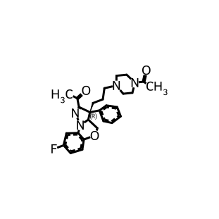 CC(=O)C1=NN2c3cc(F)ccc3OCC2[C@@]1(CCCN1CCN(C(C)=O)CC1)c1ccccc1